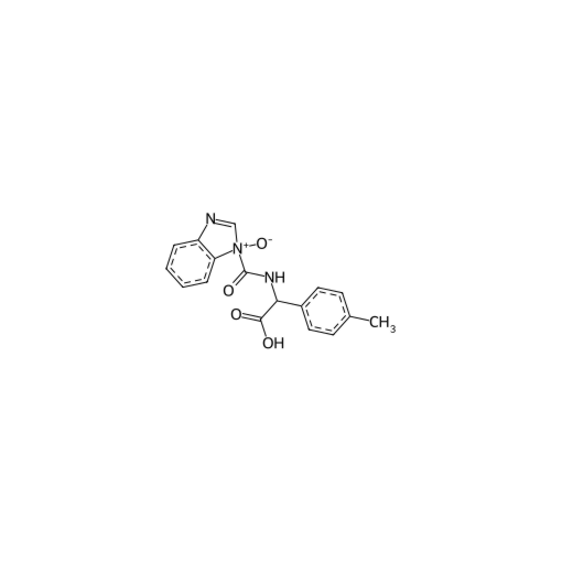 Cc1ccc(C(NC(=O)[N+]2([O-])C=Nc3ccccc32)C(=O)O)cc1